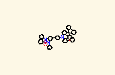 O=P1(c2ccccc2)N(c2ccccc2)c2ccc(-c3ccc(N(c4cccc(-c5ccccc5)c4)c4cccc5c4-c4ccccc4C54c5ccccc5-c5ccccc54)cc3)cc2N1c1ccccc1